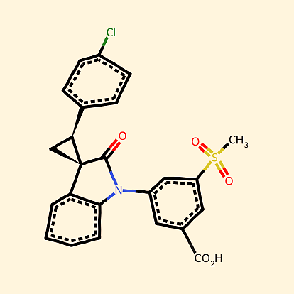 CS(=O)(=O)c1cc(C(=O)O)cc(N2C(=O)[C@]3(C[C@H]3c3ccc(Cl)cc3)c3ccccc32)c1